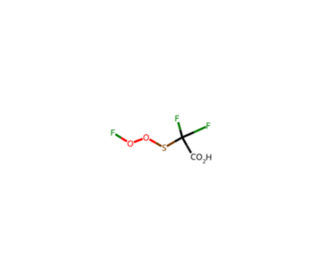 O=C(O)C(F)(F)SOOF